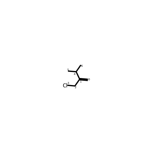 C=C(CCl)C(C)C